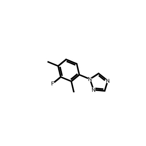 Cc1ccc(-n2cncn2)c(C)c1F